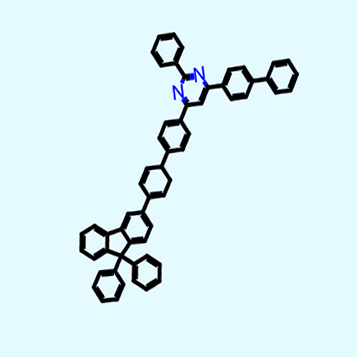 C1=CC(c2ccc(-c3cc(-c4ccc(-c5ccccc5)cc4)nc(-c4ccccc4)n3)cc2)CC=C1c1ccc2c(c1)-c1ccccc1C2(c1ccccc1)c1ccccc1